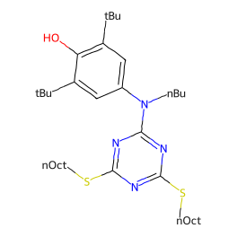 CCCCCCCCSc1nc(SCCCCCCCC)nc(N(CCCC)c2cc(C(C)(C)C)c(O)c(C(C)(C)C)c2)n1